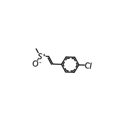 C[S+]([O-])C=Cc1ccc(Cl)cc1